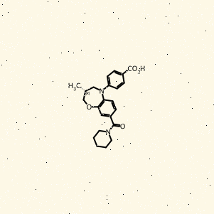 C[C@H]1COc2cc(C(=O)N3CCCCC3)ccc2N(c2ccc(C(=O)O)cc2)C1